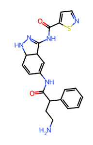 NCCC(C(=O)NC1=CC2C(NC(=O)c3ccns3)=NNC2C=C1)c1ccccc1